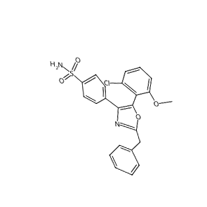 COc1cccc(Cl)c1-c1oc(Cc2ccccc2)nc1-c1ccc(S(N)(=O)=O)cc1